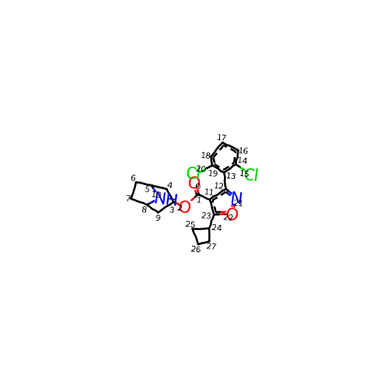 O=C(OC1CC2CCC(C1)N2)c1c(-c2c(Cl)cccc2Cl)noc1C1CCC1